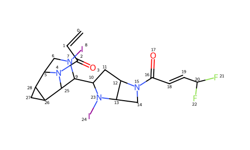 C=CC(=O)N1C2CN(I)C(C3CC4C(CN4C(=O)/C=C/C(F)F)N3I)C1C1CC12